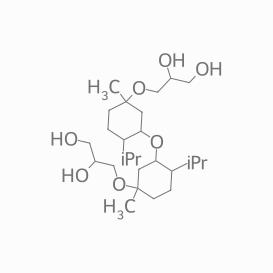 CC(C)C1CCC(C)(OCC(O)CO)CC1OC1CC(C)(OCC(O)CO)CCC1C(C)C